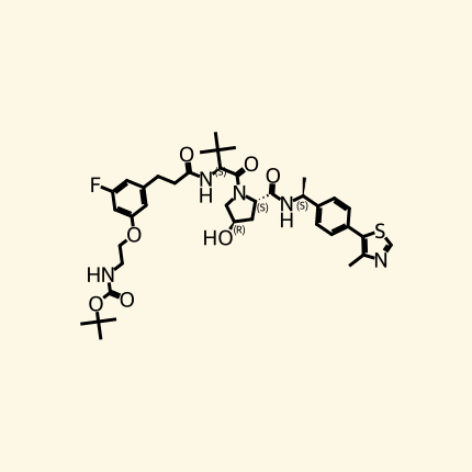 Cc1ncsc1-c1ccc([C@H](C)NC(=O)[C@@H]2C[C@@H](O)CN2C(=O)[C@@H](NC(=O)CCc2cc(F)cc(OCCNC(=O)OC(C)(C)C)c2)C(C)(C)C)cc1